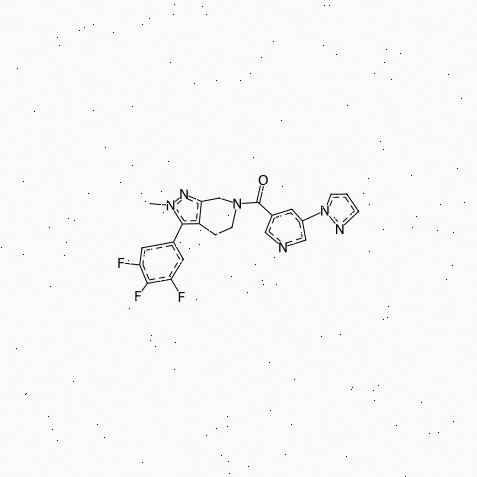 Cn1nc2c(c1-c1cc(F)c(F)c(F)c1)CCN(C(=O)c1cncc(-n3cccn3)c1)C2